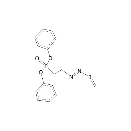 C=BN=NCCP(=O)(Oc1ccccc1)Oc1ccccc1